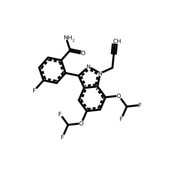 C#CCn1nc(-c2cc(F)ccc2C(N)=O)c2cc(OC(F)F)cc(OC(F)F)c21